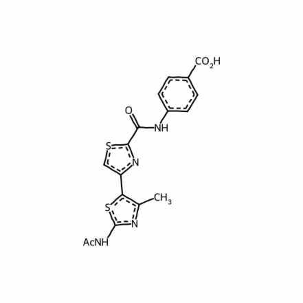 CC(=O)Nc1nc(C)c(-c2csc(C(=O)Nc3ccc(C(=O)O)cc3)n2)s1